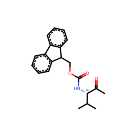 CC(=O)[C@@H](NC(=O)OCC1c2ccccc2-c2ccccc21)C(C)C